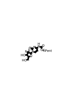 CCCCCOC(=O)Nc1ccn(C2OC(CO)C(O)C2(F)F)c(=O)n1